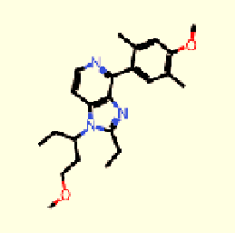 CCc1nc2c(-c3cc(C)c(OC)cc3C)nccc2n1C(CC)CCOC